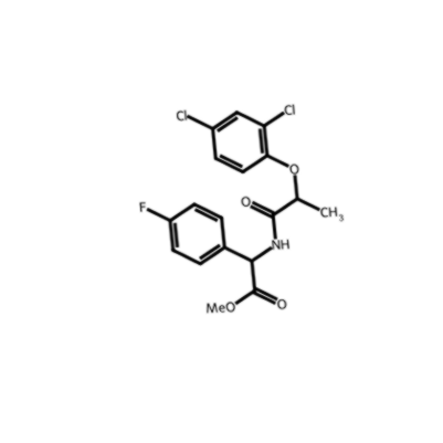 COC(=O)C(NC(=O)C(C)Oc1ccc(Cl)cc1Cl)c1ccc(F)cc1